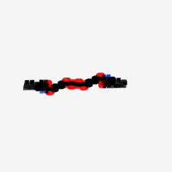 CNC(=O)N(CCOc1ccc(-c2ccc(OCCOCCOCCOc3ccc(-c4ccc(OCCN(Cc5ccccc5)C(=O)NC)cc4)cc3)cc2)cc1)Cc1ccccc1